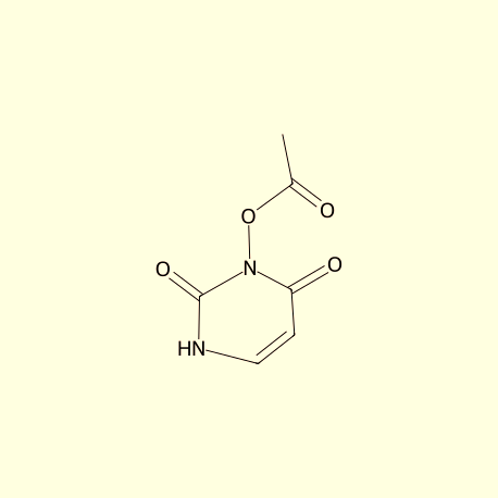 CC(=O)On1c(=O)cc[nH]c1=O